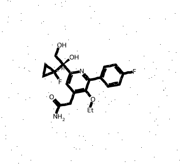 CCOc1c(CC(N)=O)cc([C@@](O)(CO)C2(F)CC2)nc1-c1ccc(F)cc1